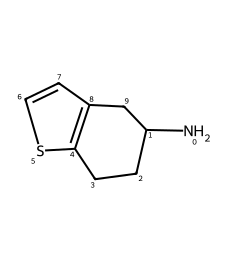 NC1CCc2sccc2C1